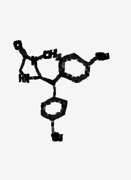 CN1C(=O)CN[C@@H]1C(c1ccc(C(C)(C)C)cc1)c1ccc(C(C)(C)C)cc1